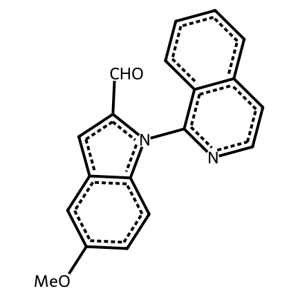 COc1ccc2c(c1)cc(C=O)n2-c1nccc2ccccc12